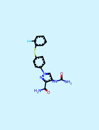 NC(=O)Nc1cn(-c2ccc(Sc3ccccc3F)cc2)nc1C(N)=O